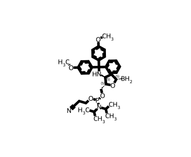 B[C@H]1C[C@H](NC(c2ccccc2)(c2ccc(OC)cc2)c2ccc(OC)cc2)[C@@H](COP(OCCC#N)N(C(C)C)C(C)C)O1